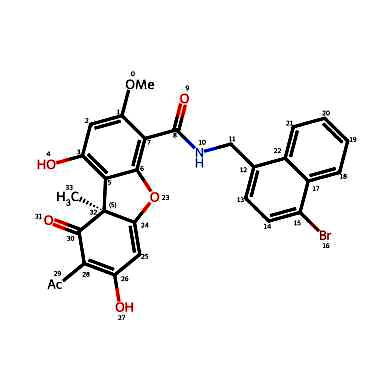 COc1cc(O)c2c(c1C(=O)NCc1ccc(Br)c3ccccc13)OC1=CC(O)=C(C(C)=O)C(=O)[C@]12C